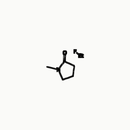 CCF.CN1CCCC1=O